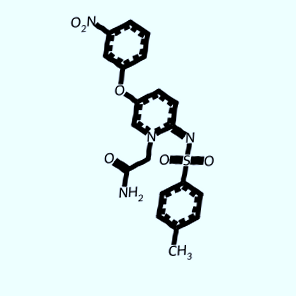 Cc1ccc(S(=O)(=O)N=c2ccc(Oc3cccc([N+](=O)[O-])c3)cn2CC(N)=O)cc1